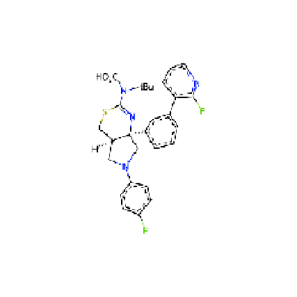 CC(C)(C)N(C(=O)O)C1=N[C@@]2(c3cccc(-c4cccnc4F)c3)CN(c3ccc(F)cc3)C[C@H]2CS1